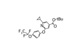 CC(C)(C)OC(=O)c1cc(Oc2ccc(OC(F)(F)C(F)(F)F)cc2)nc(C2CC2)c1